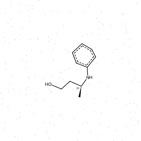 C[C@@H](CCO)Nc1ccccc1